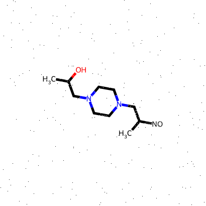 CC(O)CN1CCN(CC(C)N=O)CC1